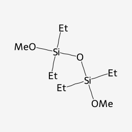 CC[Si](CC)(OC)O[Si](CC)(CC)OC